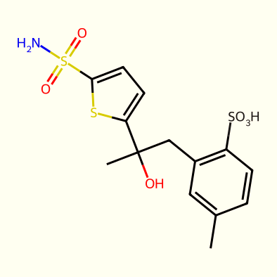 Cc1ccc(S(=O)(=O)O)c(CC(C)(O)c2ccc(S(N)(=O)=O)s2)c1